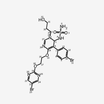 NS(=O)(=O)NC1C(c2ccc(Br)cc2)=C(OCCOc2ncc(Br)cn2)N=CN1CCCO